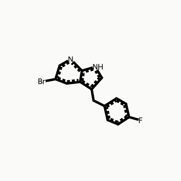 Fc1ccc(Cc2c[nH]c3ncc(Br)cc23)cc1